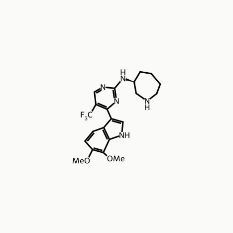 COc1ccc2c(-c3nc(N[C@H]4CCCCNC4)ncc3C(F)(F)F)c[nH]c2c1OC